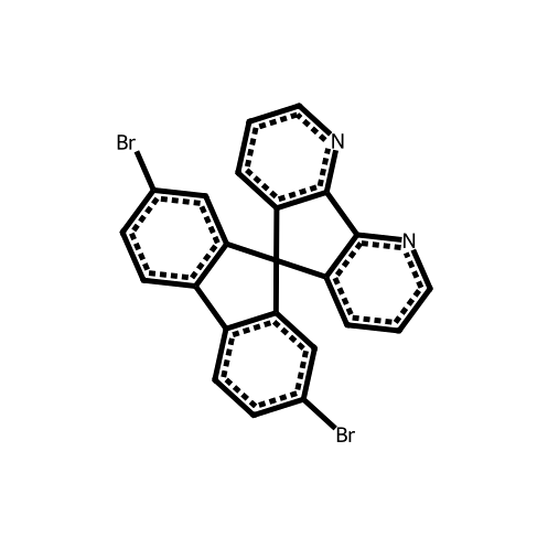 Brc1ccc2c(c1)C1(c3cc(Br)ccc3-2)c2cccnc2-c2ncccc21